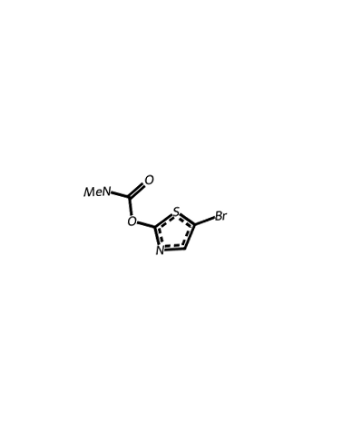 CNC(=O)Oc1ncc(Br)s1